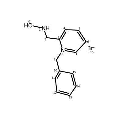 ONCc1cccc[n+]1Cc1ccccc1.[Br-]